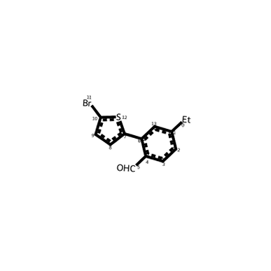 CCc1ccc(C=O)c(-c2ccc(Br)s2)c1